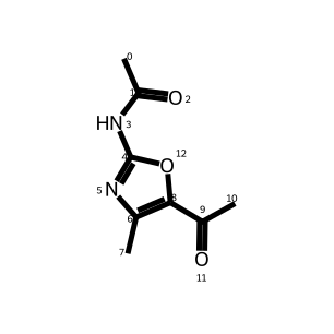 CC(=O)Nc1nc(C)c(C(C)=O)o1